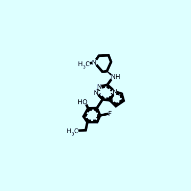 CCc1cc(O)c(-c2nnc(N[C@@H]3CCCN(C)C3)n3cccc23)c(F)c1